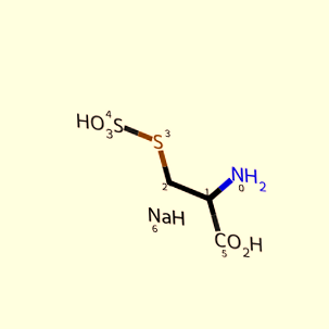 NC(CSS(=O)(=O)O)C(=O)O.[NaH]